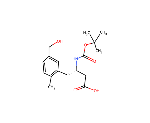 Cc1ccc(CO)cc1C[C@@H](CC(=O)O)NC(=O)OC(C)(C)C